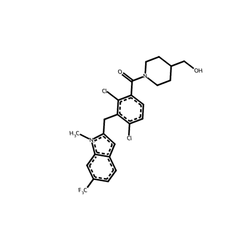 Cn1c(Cc2c(Cl)ccc(C(=O)N3CCC(CO)CC3)c2Cl)cc2ccc(C(F)(F)F)cc21